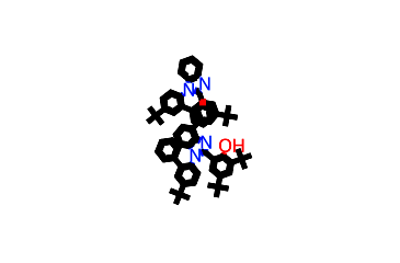 CC(C)(C)c1cc(-c2cccc3c2nc(-c2cc(C(C)(C)C)cc(C(C)(C)C)c2O)n3-c2ccc(C(C)(C)C)cc2-c2ccccc2)cc(-c2nc3ccccc3n2-c2ccc(C(C)(C)C)cc2-c2ccccc2)c1